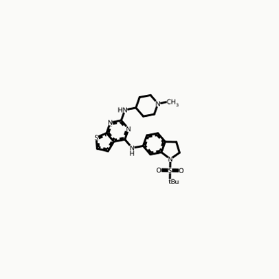 CN1CCC(Nc2nc(Nc3ccc4c(c3)N(S(=O)(=O)C(C)(C)C)CC4)c3ccsc3n2)CC1